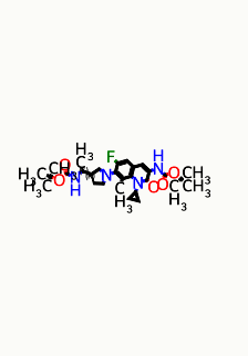 Cc1c(N2CC[C@@H]([C@H](C)NC(=O)OC(C)(C)C)C2)c(F)cc2cc(NC(=O)OC(C)(C)C)c(=O)n(C3CC3)c12